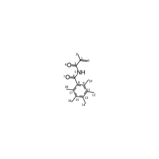 C=C(C)C(=O)NC(=O)c1c(C)c(C)c(C)c(C)c1C